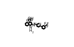 Nc1c(N=Nc2ccc(-c3cccc(C(F)(F)F)c3)nc2)cc(S(=O)(=O)O)c2ccccc12